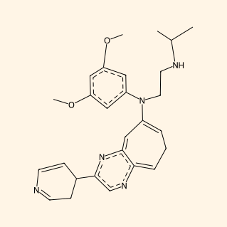 COc1cc(OC)cc(N(CCNC(C)C)C2=CCC=c3ncc(C4C=CN=CC4)nc3=C2)c1